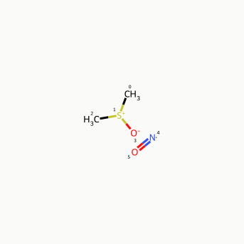 C[S+](C)[O-].[N]=O